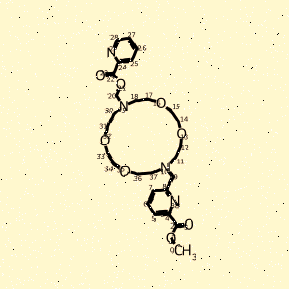 COC(=O)c1cccc(CN2CCOCCOCCN(COC(=O)c3ccccn3)CCOCCOCC2)n1